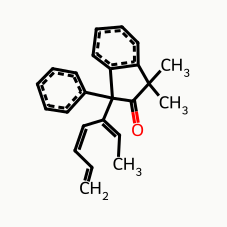 C=C/C=C\C(=C/C)C1(c2ccccc2)C(=O)C(C)(C)c2ccccc21